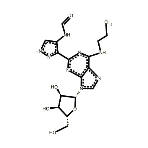 CCCNc1nc(-c2n[nH]cc2NC=O)nc2c1ncn2[C@@H]1O[C@H](CO)[C@@H](O)[C@H]1O